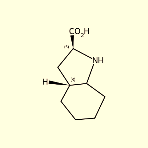 O=C(O)[C@@H]1C[C@H]2CCCCC2N1